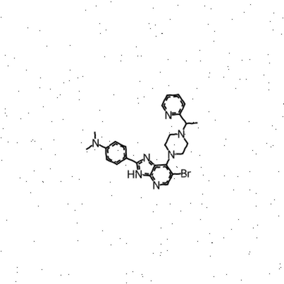 CC(c1ccccn1)N1CCN(c2c(Br)cnc3[nH]c(-c4ccc(N(C)C)cc4)nc23)CC1